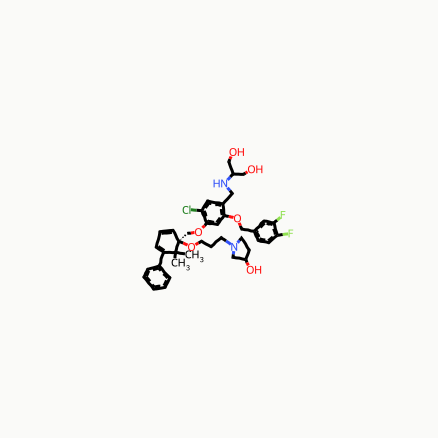 CC1(C)C(c2ccccc2)=CC=C[C@@]1(COc1cc(OCc2ccc(F)c(F)c2)c(CNC(CO)CO)cc1Cl)OCCCN1CCC(O)C1